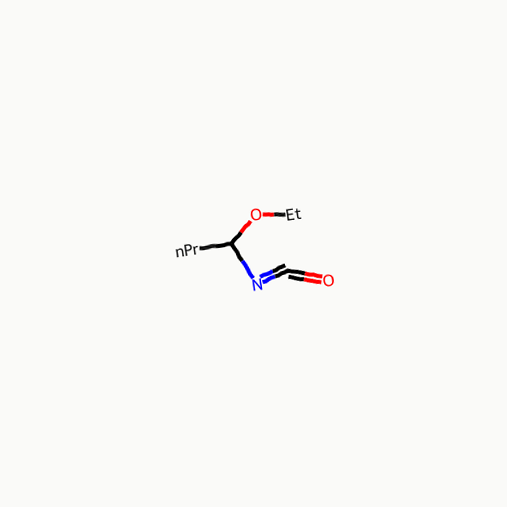 CCCC(N=C=O)OCC